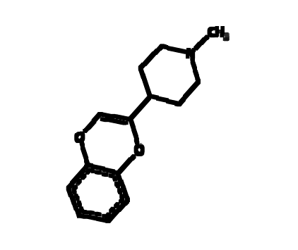 CN1CCC(C2=COc3ccccc3O2)CC1